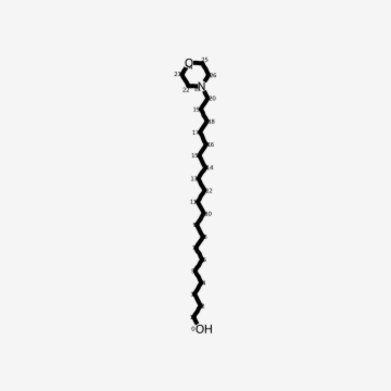 OCCCCCCCCCCCCCCCCCCCCN1CCOCC1